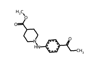 CCC(=O)c1ccc(NN2CCC(C(=O)OC)CC2)cc1